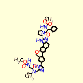 CCCN(Cc1ncc(-c2ccc3c(c2)COc2cc4c(ccc5nc([C@@H]6CCCN6C(=O)[C@H](NC(=O)OC)c6ccccc6)[nH]c54)cc2-3)[nH]1)C(=O)CNC(=O)OC